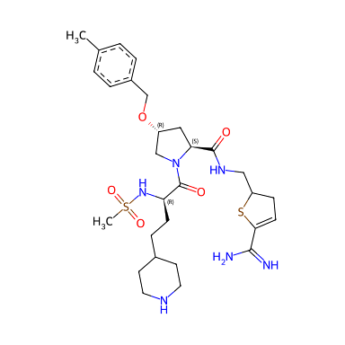 Cc1ccc(CO[C@@H]2C[C@@H](C(=O)NCC3CC=C(C(=N)N)S3)N(C(=O)[C@@H](CCC3CCNCC3)NS(C)(=O)=O)C2)cc1